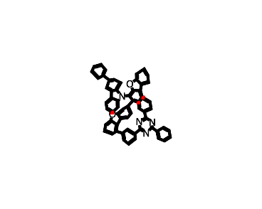 c1ccc(-c2ccc3c(c2)c2ccccc2n3-c2c(-c3ccc4c(c3)oc3cccc(-c5cccc(-c6nc(-c7ccccc7)nc(-c7ccccc7)n6)c5)c34)ccc3c2oc2ccccc23)cc1